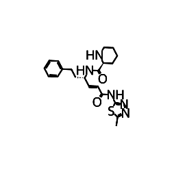 Cc1nnc(NC(=O)/C=C/[C@H](CCc2ccccc2)NC(=O)[C@@H]2CCCCN2)s1